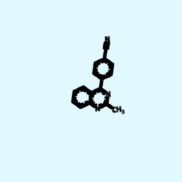 Cc1nc(-c2ccc(C#N)cc2)c2ccccc2n1